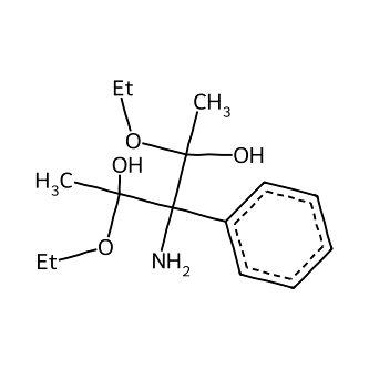 CCOC(C)(O)C(N)(c1ccccc1)C(C)(O)OCC